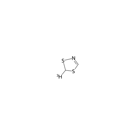 [3H]C1SC=NS1